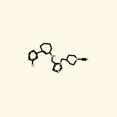 N#CN1CCC(Cn2cncc2CNC2C=C(c3cccc(Cl)c3)CCCC2)CC1